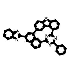 c1ccc(-c2nc(-c3ccccc3)nc(-c3cccc4sc5ccc(-c6cccc(-c7nc8ccccc8s7)c6)cc5c34)n2)cc1